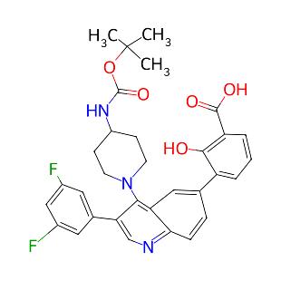 CC(C)(C)OC(=O)NC1CCN(c2c(-c3cc(F)cc(F)c3)cnc3ccc(-c4cccc(C(=O)O)c4O)cc23)CC1